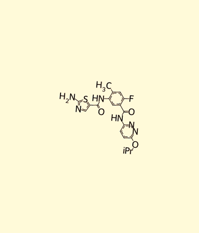 Cc1cc(F)c(C(=O)Nc2ccc(OC(C)C)nn2)cc1NC(=O)c1cnc(N)s1